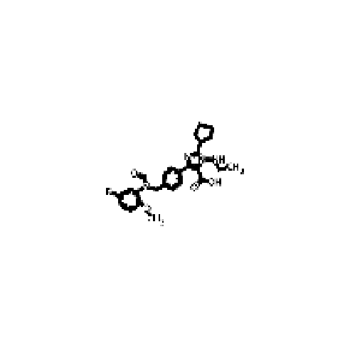 CCNn1c(C2CCCC2)nc(-c2ccc(CN(C=O)c3cc(F)ccc3OC)cc2)c1C(=O)O